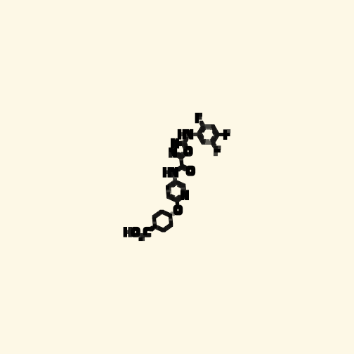 O=C(Nc1ccc(O[C@H]2CC[C@H](C(=O)O)CC2)nc1)c1nnc(Nc2cc(F)c(F)cc2F)o1